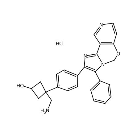 Cl.NCC1(c2ccc(-c3nc4n(c3-c3ccccc3)COc3ccncc3-4)cc2)CC(O)C1